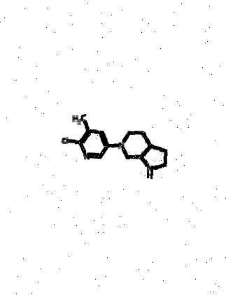 Cc1cc(N2CCC3CCNC3C2)cnc1Cl